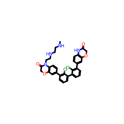 CNCCNCCN1C(=O)COc2cc(-c3cccc(-c4cccc(-c5ccc6c(c5)OCC(=O)N6)c4Cl)c3Cl)ccc21